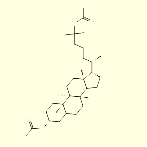 CC(=O)O[C@H]1CC[C@]2(C)[C@H]3CC[C@]4(C)[C@@H]([C@H](C)CCCC(C)(C)OC(C)=O)CC[C@H]4[C@@H]3CC[C@@]2(O)C1